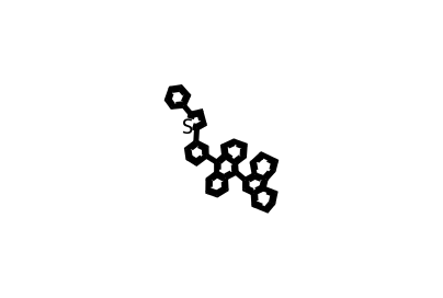 c1ccc(-c2ccc(-c3cccc(-c4c5ccccc5c(-c5cc6ccccc6c6ccccc56)c5ccccc45)c3)s2)cc1